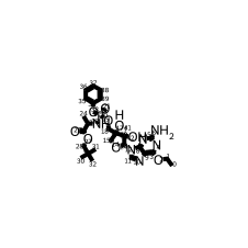 CCOc1nc(N)nc2c1ncn2[C@@H]1OCC(O)(COP(=O)(NC(C)C(=O)OCC(C)(C)C)Oc2ccccc2)[C@@]1(C)O